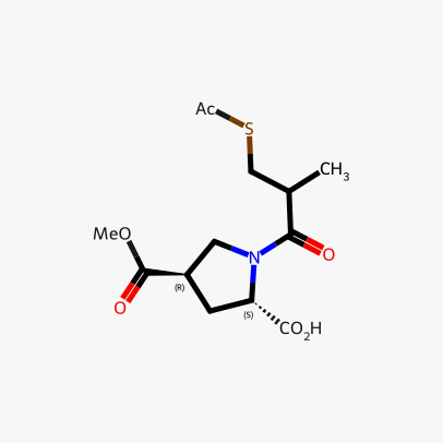 COC(=O)[C@@H]1C[C@@H](C(=O)O)N(C(=O)C(C)CSC(C)=O)C1